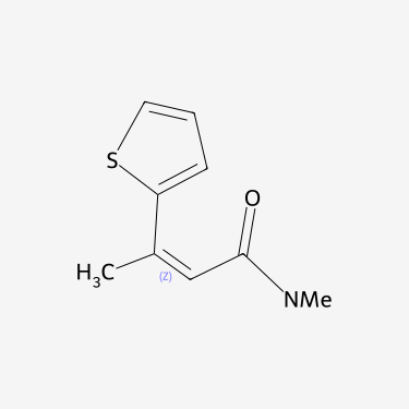 CNC(=O)/C=C(/C)c1cccs1